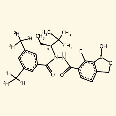 [2H]C([2H])([2H])c1cc(C(=O)N(NC(=O)c2ccc3c(c2F)B(O)OC3)[C@@H](CC)C(C)(C)C)cc(C([2H])([2H])[2H])c1